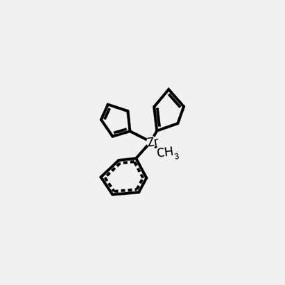 [CH3][Zr]([C]1=CC=CC1)([C]1=CC=CC1)[c]1ccccc1